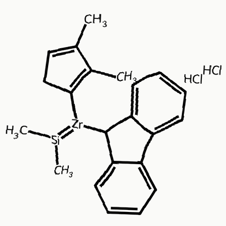 CC1=CC[C]([Zr]([CH]2c3ccccc3-c3ccccc32)=[Si](C)C)=C1C.Cl.Cl